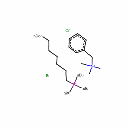 CCCCCCCCCCCCCCCC[P+](CCCC)(CCCC)CCCC.C[N+](C)(C)Cc1ccccc1.[Br-].[Cl-]